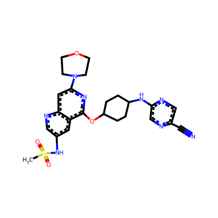 CS(=O)(=O)Nc1cnc2cc(N3CCOCC3)nc(OC3CCC(Nc4cnc(C#N)cn4)CC3)c2c1